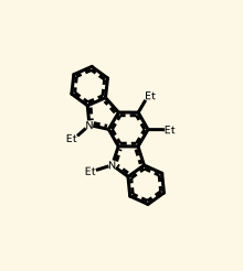 CCc1c(CC)c2c3ccccc3n(CC)c2c2c1c1ccccc1n2CC